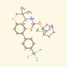 CC1(C)CSc2ccc(-c3ccc(C(F)(F)F)cc3)cc2C1NC(=O)O[C@H]1CN2CCC1CC2